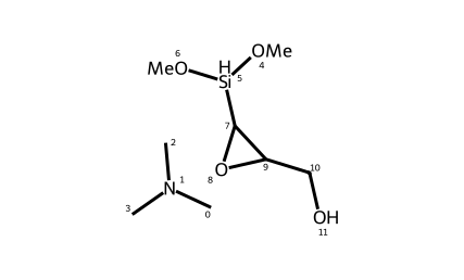 CN(C)C.CO[SiH](OC)C1OC1CO